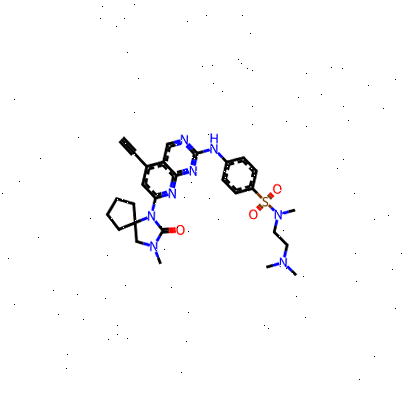 C#Cc1cc(N2C(=O)N(C)CC23CCCC3)nc2nc(Nc3ccc(S(=O)(=O)N(C)CCN(C)C)cc3)ncc12